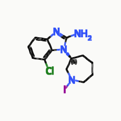 Nc1nc2cccc(Cl)c2n1[C@H]1CCCCN(I)C1